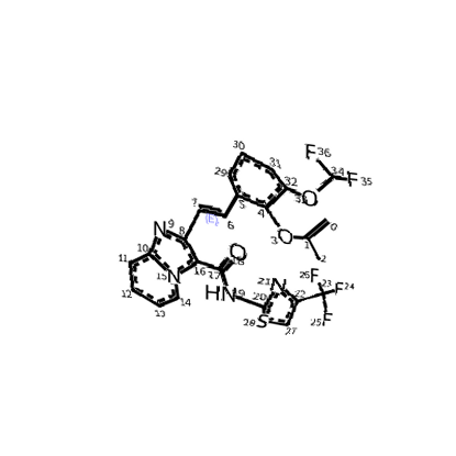 C=C(C)Oc1c(/C=C/c2nc3ccccn3c2C(=O)Nc2nc(C(F)(F)F)cs2)cccc1OC(F)F